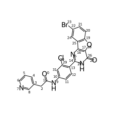 O=C(Cc1cccnc1)Nc1ccc(-c2nc3c(oc4ccc(Br)cc43)c(=O)[nH]2)c(Cl)c1